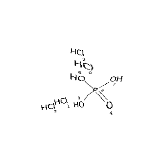 Cl.Cl.Cl.Cl.O=P(O)(O)O